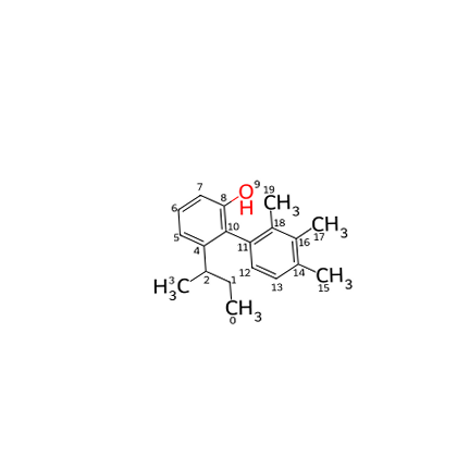 CCC(C)c1cccc(O)c1-c1ccc(C)c(C)c1C